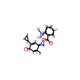 CC1=CC(=O)C(C2CC2)=CC1=NOC(=O)c1ccccc1N(C)C